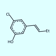 [CH2]CC=Cc1cc(O)cc(Cl)c1